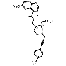 COc1ccc2nccc(C(F)CC[C@@H]3CCN(CC#Cc4ccc(C(F)(F)F)cc4)C[C@@H]3CC(=O)O)c2c1